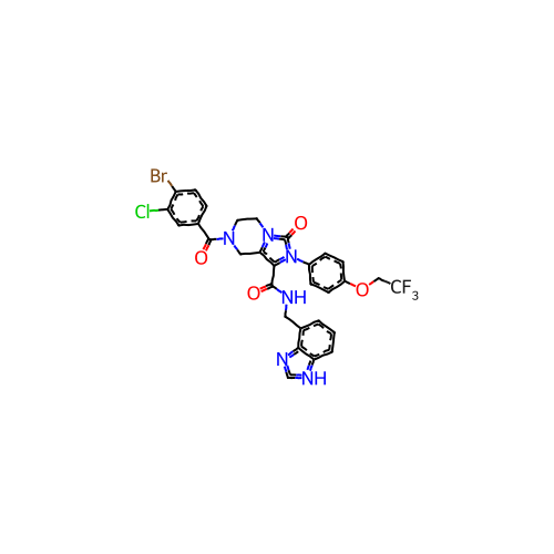 O=C(NCc1cccc2[nH]cnc12)c1c2n(c(=O)n1-c1ccc(OCC(F)(F)F)cc1)CCN(C(=O)c1ccc(Br)c(Cl)c1)C2